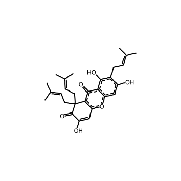 CC(C)=CCc1c(O)cc2oc3c(c(=O)c2c1O)C(CC=C(C)C)(CC=C(C)C)C(=O)C(O)=C3